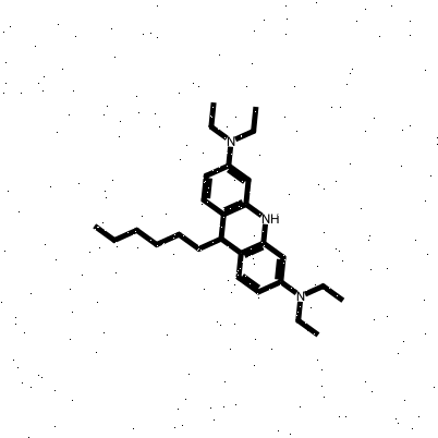 CCCCCCC1c2ccc(N(CC)CC)cc2Nc2cc(N(CC)CC)ccc21